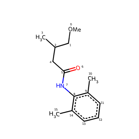 COCC(C)CC(=O)Nc1c(C)cccc1C